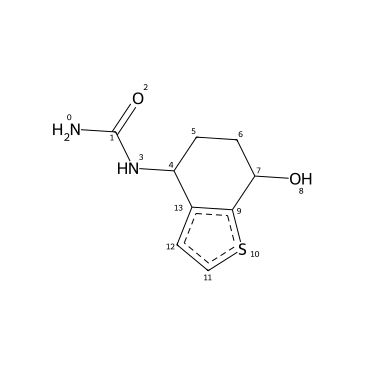 NC(=O)NC1CCC(O)c2sccc21